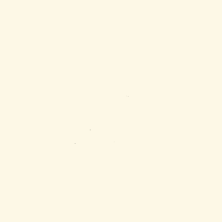 CC1=C(C(=O)O)C(C)(Br)C(F)(Br)C=C1